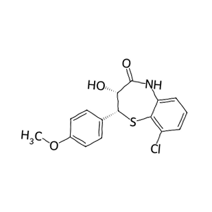 COc1ccc([C@H]2Sc3c(Cl)cccc3NC(=O)[C@H]2O)cc1